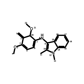 C=C1C(OC)=CC=C(Nc2c(C)n(C)c3ccccc23)C1OC